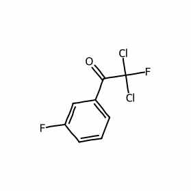 O=C(c1cccc(F)c1)C(F)(Cl)Cl